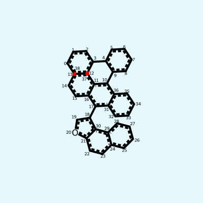 c1ccc(-c2ccccc2-c2c3ccccc3c(-c3coc4ccc5ccccc5c34)c3ccccc23)cc1